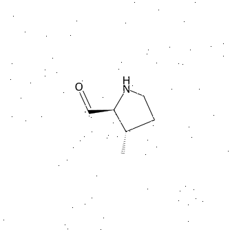 C[C@H]1CCN[C@@H]1[C]=O